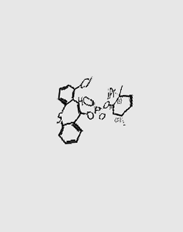 CC(C)[C@]1(C)CC[C@H](C)C[C@H]1OP(=O)(O)OC1=Cc2c(Cl)cccc2Sc2ccccc21